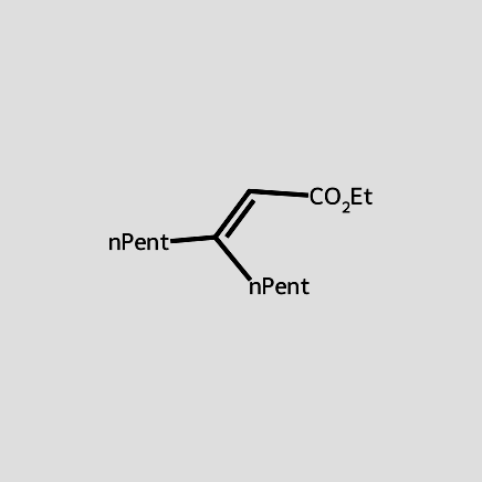 CCCCCC(=CC(=O)OCC)CCCCC